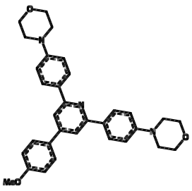 COc1ccc(-c2cc(-c3ccc(N4CCOCC4)cc3)nc(-c3ccc(N4CCOCC4)cc3)c2)cc1